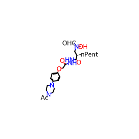 CCCCC[C@H](CN(O)C=O)C(=O)NNC(=O)COc1ccc(N2CCN(C(C)=O)CC2)cc1